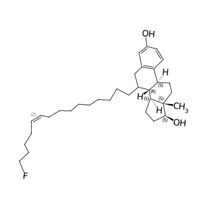 C[C@]12CC[C@@H]3c4ccc(O)cc4CC(CCCCCCCCC/C=C\CCCCF)[C@H]3[C@@H]1CC[C@@H]2O